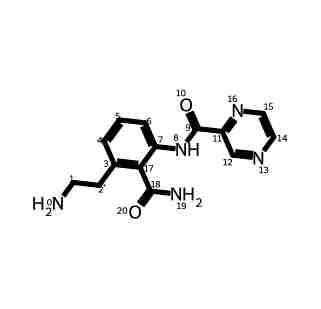 NC[CH]c1cccc(NC(=O)c2cnccn2)c1C(N)=O